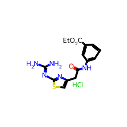 CCOC(=O)c1cccc(NC(=O)Cc2csc(N=C(N)N)n2)c1.Cl